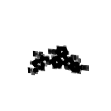 CC1=C(c2cccc(O)c2)C(c2ccc(OC[C@H](C)N3CCN(C)CC3)cc2)Oc2ccc(O)cc21